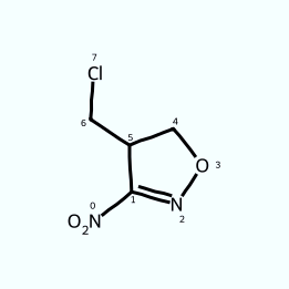 O=[N+]([O-])C1=NOCC1CCl